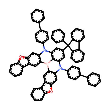 c1ccc(-c2ccc(N3c4cc5oc6ccccc6c5cc4B4c5cc6c(cc5N(c5ccc(-c7ccccc7)cc5)c5cc(C7(c8ccccc8)c8ccccc8-c8ccccc87)cc3c54)oc3ccccc36)cc2)cc1